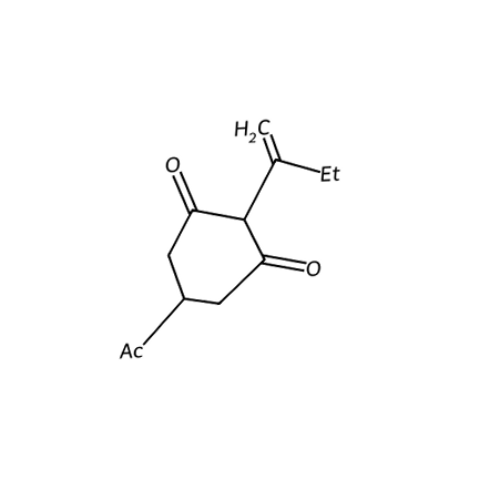 C=C(CC)C1C(=O)CC(C(C)=O)CC1=O